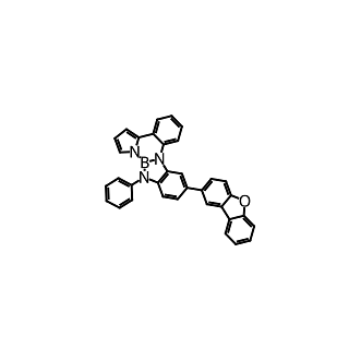 c1ccc(N2B3N(c4ccccc4-c4cccn43)c3cc(-c4ccc5oc6ccccc6c5c4)ccc32)cc1